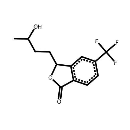 CC(O)CCC1OC(=O)c2ccc(C(F)(F)F)cc21